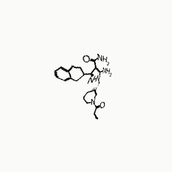 C=CC(=O)N1CCC[C@H](Cn2nc(C3CCc4ccccc4C3)c(C(N)=O)c2N)C1